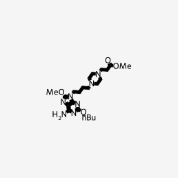 CCCCOc1nc(N)c2nc(OC)n(CCCCN3CCN(CCC(=O)OC)CC3)c2n1